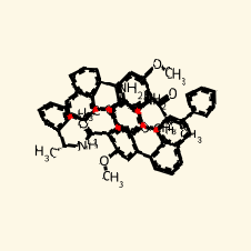 COc1cc(-c2cccc3cccc(-c4ccc(-c5cccc6cccc(-c7cc(OC)c(C(=O)N[C@H](C)c8ccccc8)c(OC)c7)c56)c(N)c4N)c23)cc(OC)c1C(=O)N[C@H](C)c1ccccc1